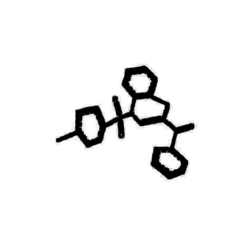 Cc1ccc(S(=O)(=O)N2C=C(C(=O)c3ccccc3)Cc3ccccc32)cc1